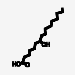 CCCCCCCCCC(O)CCCCCC(=O)O